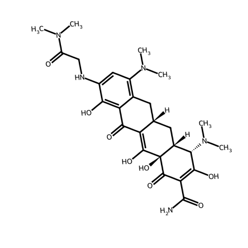 CN(C)C(=O)CNc1cc(N(C)C)c2c(c1O)C(=O)C1=C(O)[C@@]3(O)C(=O)C(C(N)=O)=C(O)[C@@H](N(C)C)[C@H]3C[C@H]1C2